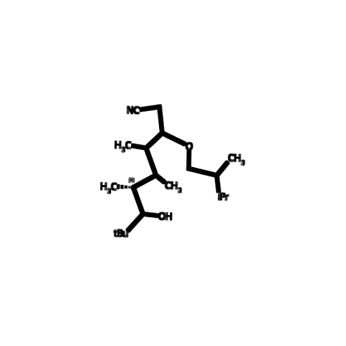 CC(C)C(C)COC(CC#N)C(C)C(C)[C@@H](C)C(O)C(C)(C)C